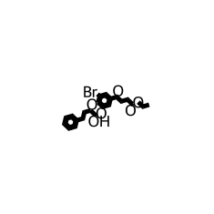 CCOC(=O)CCC(=O)c1ccc(OC(CCc2ccccc2)C(=O)O)c(Br)c1